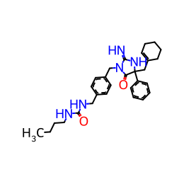 CCCCNC(=O)NCc1ccc(CN2C(=N)NC(CC3=CCCCC3)(c3ccccc3)C2=O)cc1